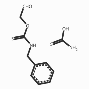 NC(O)=S.O=CCOC(=S)NCc1ccccc1